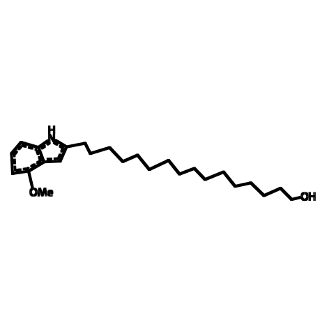 COc1cccc2[nH]c(CCCCCCCCCCCCCCCCO)cc12